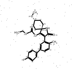 CCOC(=O)OC1=C(c2cc(-c3ccc(F)cc3)ccc2C)C(=O)N[C@]12CC[C@@H](OC)CC2